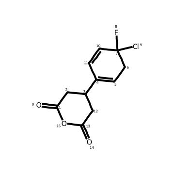 O=C1CC(C2=CCC(F)(Cl)C=C2)CC(=O)O1